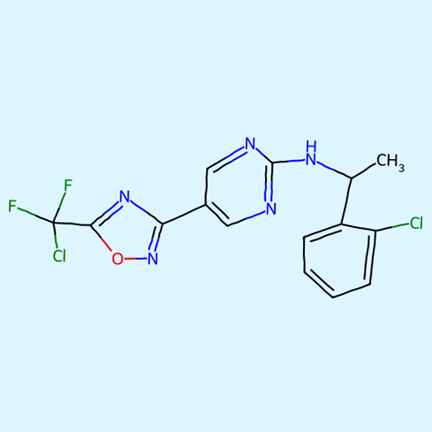 CC(Nc1ncc(-c2noc(C(F)(F)Cl)n2)cn1)c1ccccc1Cl